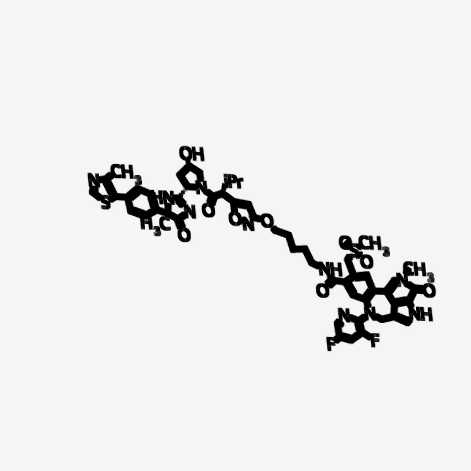 Cc1ncsc1-c1ccc([C@]2(C)NC([C@@H]3C[C@@H](O)CN3C(=O)[C@H](c3cc(OCCCCCNC(=O)c4cc5c(cc4CS(C)(=O)=O)-c4cn(C)c(=O)c6[nH]cc(c46)CN5c4ncc(F)cc4F)no3)C(C)C)=NC2=O)cc1